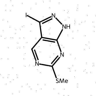 CSc1ncc2c(I)n[nH]c2n1